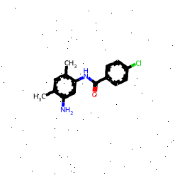 Cc1cc(C)c(NC(=O)c2ccc(Cl)cc2)cc1N